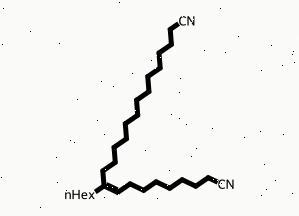 CCCCCCC(=CCCCCCCCC#N)CCCCCCCCCCCCCC#N